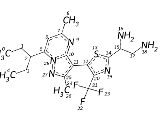 CCC(CC)c1cc(C)nc2c(-c3sc(C(N)CN)nc3C(F)(F)F)c(C)nn12